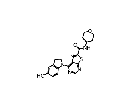 O=C(NC1CCOCC1)c1nc2c(N3CCc4cc(O)ccc43)ncnc2s1